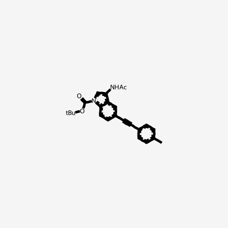 CC(=O)Nc1cn(C(=O)OC(C)(C)C)c2ccc(C#Cc3ccc(C)cc3)cc12